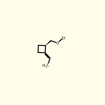 C/C=C1\CC[C@H]1COCC